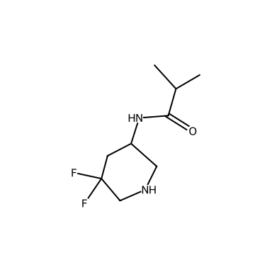 CC(C)C(=O)NC1CNCC(F)(F)C1